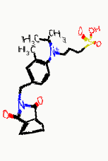 CC(C)=[N+](CCCS(=O)(=O)O)c1ccc(CN2C(=O)c3ccccc3C2=O)cc1C